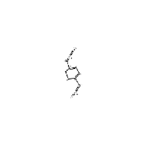 S=C=NC1=CC=C(N=C=S)CC1